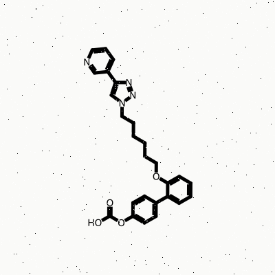 O=C(O)Oc1ccc(-c2ccccc2OCCCCCCn2cc(-c3cccnc3)nn2)cc1